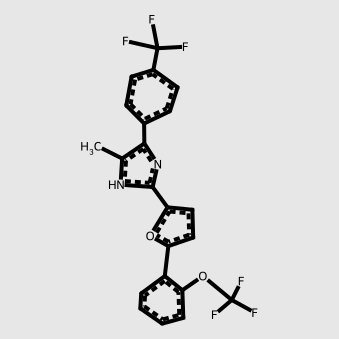 Cc1[nH]c(-c2ccc(-c3ccccc3OC(F)(F)F)o2)nc1-c1ccc(C(F)(F)F)cc1